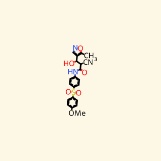 COc1ccc(S(=O)(=O)c2ccc(NC(=O)C(C#N)C(O)c3cnoc3C)cc2)cc1